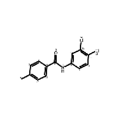 Cc1ccc(C(=O)Nc2ccc(Cl)c(Cl)c2)cc1